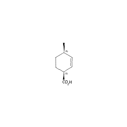 C[C@H]1C=C[C@@H](C(=O)O)CC1